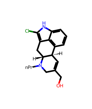 CCCN1CC(CO)=C[C@@H]2c3cccc4[nH]c(Cl)c(c34)C[C@H]21